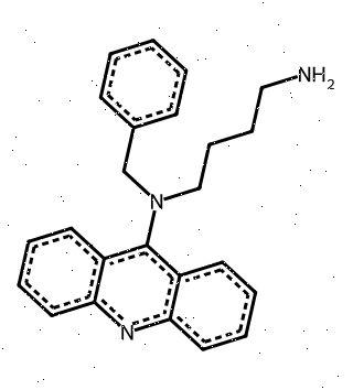 NCCCCN(Cc1ccccc1)c1c2ccccc2nc2ccccc12